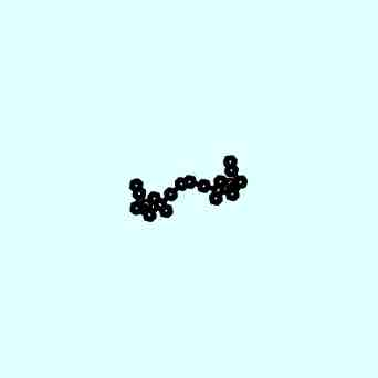 c1ccc2cc(-c3cccc4c3oc3c(-c5c6ccccc6c(-c6ccc(-c7ccc8ccc(-c9ccc(-c%10c%11ccccc%11c(-c%11cccc%12c%11oc%11c(-c%13ccc%14ccccc%14c%13)cccc%11%12)c%11ccccc%10%11)cc9)cc8c7)cc6)c6ccccc56)cccc34)ccc2c1